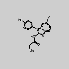 CC(C)(C)CC(=O)Nc1nc2ccc(F)cn2c1-c1ccc(C#N)nc1